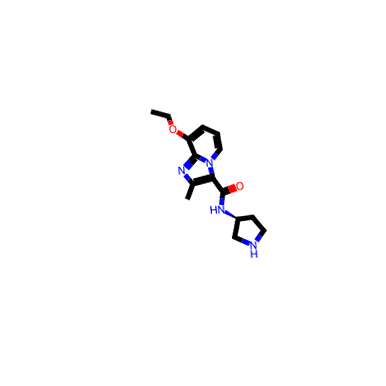 CCOc1cccn2c(C(=O)N[C@H]3CCNC3)c(C)nc12